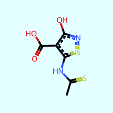 CC(=S)Nc1snc(O)c1C(=O)O